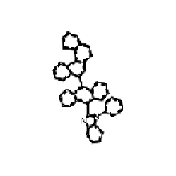 c1ccc(-n2c(-c3c4ccccc4c(-c4cc5ccc6ccccc6c5c5ccccc45)c4ccccc34)nc3ccccc32)cc1